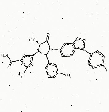 Cc1cccc([C@H]2[C@@H](c3nc(C)c(C(N)=O)s3)[C@@H](C)C(=O)N2c2ccc3c(cnn3-c3ccc(F)cc3)c2)c1